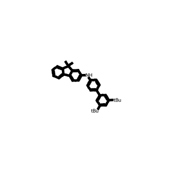 CC(C)(C)c1cc(-c2ccc(Nc3ccc4c(c3)C(C)(C)c3ccccc3-4)cc2)cc(C(C)(C)C)c1